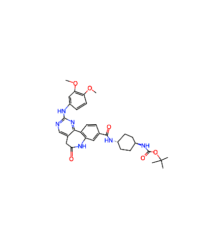 COc1ccc(Nc2ncc3c(n2)-c2ccc(C(=O)N[C@H]4CC[C@H](NC(=O)OC(C)(C)C)CC4)cc2NC(=O)C3)cc1OC